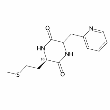 CSCC[C@H]1NC(=O)C(Cc2ccccn2)NC1=O